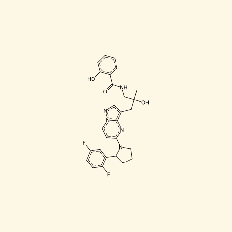 CC(O)(CNC(=O)c1ccccc1O)Cc1cnn2ccc(N3CCCC3c3cc(F)ccc3F)nc12